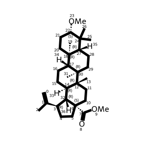 C=C(C)[C@@H]1CC[C@]2(C(=O)OC)CC[C@]3(C)[C@H](CC[C@@H]4[C@@]5(C)CC[C@H](OC)C(C)(C)[C@@H]5CC[C@]43C)[C@@H]12